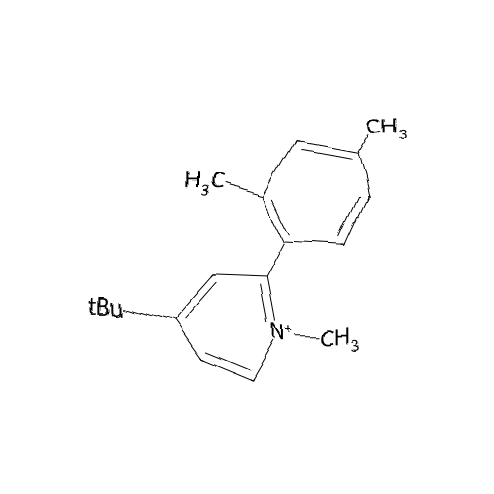 Cc1ccc(-c2cc(C(C)(C)C)cc[n+]2C)c(C)c1